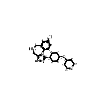 Clc1ccc2c(c1)CNCc1nnc([C@H]3CC[C@H](OC4CCOCC4)CC3)n1-2